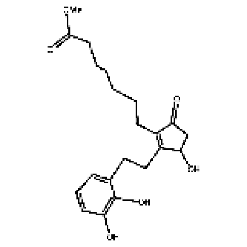 COC(=O)CCCCCCC1=C(CCc2cccc(O)c2O)C(O)CC1=O